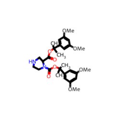 COc1cc(OC)cc(C(C)(C)OC(=O)C2CNCCN2C(=O)OC(C)(C)c2cc(OC)cc(OC)c2)c1